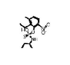 CCc1c(C)ccc([N+](=O)[O-])c1OP(O)(=S)NC(C)CC